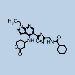 CCn1ncc2c(NC3CCOC(=O)C3)c(-c3nc(CNC(=O)C4CCCCC4)no3)cnc21